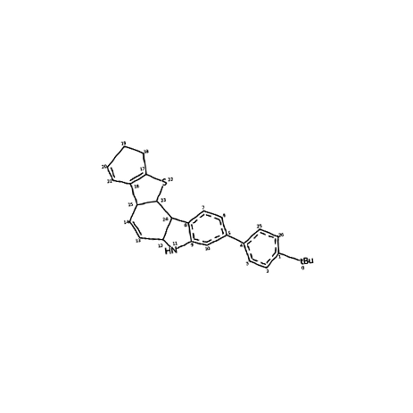 CC(C)(C)c1ccc(-c2ccc3c(c2)NC2C=CC4C5=C(CCC=C5)SC4C32)cc1